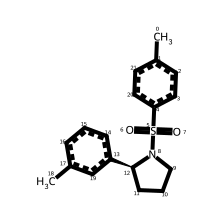 Cc1ccc(S(=O)(=O)N2CCC[C@H]2c2cccc(C)c2)cc1